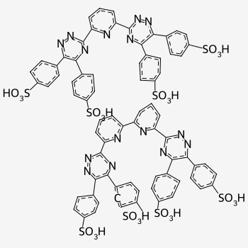 O=S(=O)(O)c1ccc(-c2nnc(-c3cccc(-c4cccc(-c5nnc(-c6ccc(S(=O)(=O)O)cc6)c(-c6ccc(S(=O)(=O)O)cc6)n5)n4)n3)nc2-c2ccc(S(=O)(=O)O)cc2)cc1.O=S(=O)(O)c1ccc(-c2nnc(-c3cccc(-c4nnc(-c5ccc(S(=O)(=O)O)cc5)c(-c5ccc(S(=O)(=O)O)cc5)n4)n3)nc2-c2ccc(S(=O)(=O)O)cc2)cc1